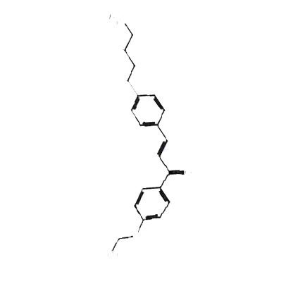 CCCCCc1ccc(/C=C/C(=O)c2ccc(SCC)cc2)cc1